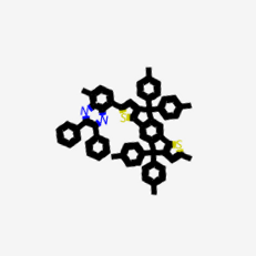 Cc1ccc(C2(c3ccc(C)cc3)c3cc4c(cc3-c3sc(C)cc32)C(c2ccc(C)cc2)(c2ccc(C)cc2)c2cc(-c3ccc(C)c5nc(-c6ccccc6)c(-c6ccccc6)nc35)sc2-4)cc1